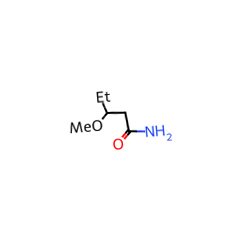 CCC(CC(N)=O)OC